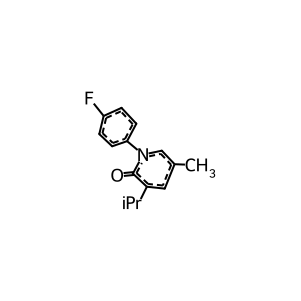 Cc1cc(C(C)C)c(=O)n(-c2ccc(F)cc2)c1